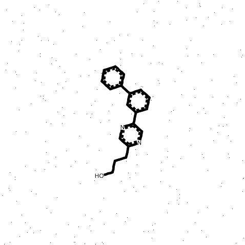 OCCCc1cnc(-c2cccc(-c3ccccc3)c2)cn1